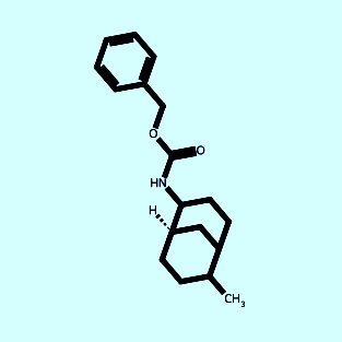 CC1CC[C@@H]2CC1CCC2NC(=O)OCc1ccccc1